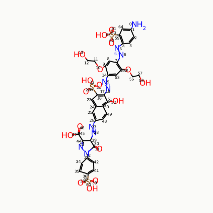 Nc1ccc(/N=N/c2cc(OCCO)c(/N=N/c3c(S(=O)(=O)O)cc4cc(/N=N/C5C(=O)N(c6ccc(S(=O)(=O)O)cc6)N=C5C(=O)O)ccc4c3O)cc2OCCO)c(S(=O)(=O)O)c1